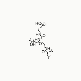 CC(C)C=C(C#N)C(=O)NCCCC[C@H](NC(=O)[C@H](C)NC(=O)C(C)C)C(=O)NC[C@H](C)CCB(O)O